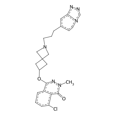 Cn1nc(OC2CC3(C2)CN(CCCc2ccn4cnnc4c2)C3)c2cccc(Cl)c2c1=O